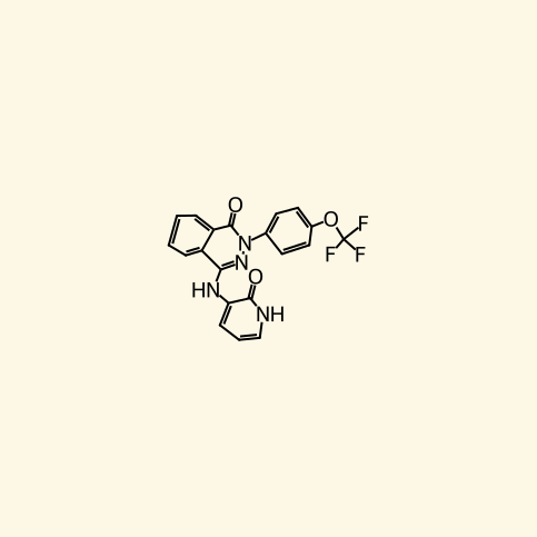 O=c1[nH]cccc1Nc1nn(-c2ccc(OC(F)(F)F)cc2)c(=O)c2ccccc12